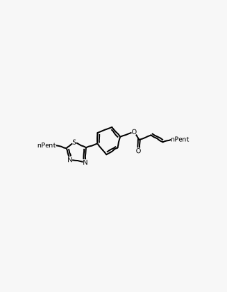 CCCCCC=CC(=O)Oc1ccc(-c2nnc(CCCCC)s2)cc1